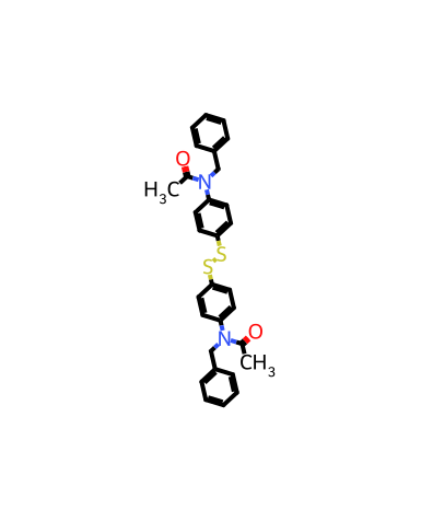 CC(=O)N(Cc1ccccc1)c1ccc(SSc2ccc(N(Cc3ccccc3)C(C)=O)cc2)cc1